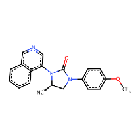 N#C[C@@H]1CN(c2ccc(OC(F)(F)F)cc2)C(=O)N1c1cncc2ccccc12